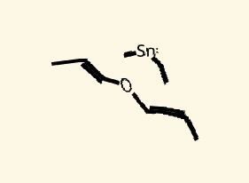 CC=COC=CC.[CH3][Sn][CH3]